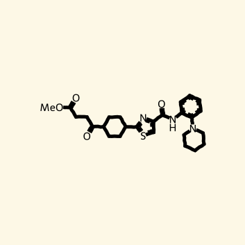 COC(=O)CCC(=O)C1CCC(c2nc(C(=O)Nc3ccccc3N3CCCCC3)cs2)CC1